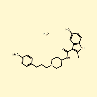 COc1ccc(CCCN2CCC(NC(=O)c3c(C)[nH]c4ccc(O)cc34)CC2)cc1.O